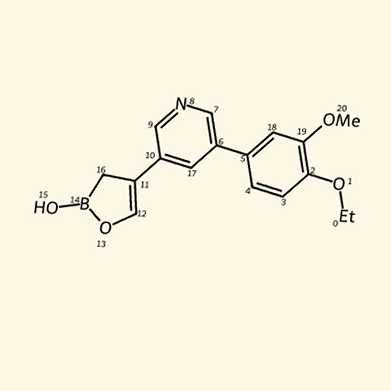 CCOc1ccc(-c2cncc(C3=COB(O)C3)c2)cc1OC